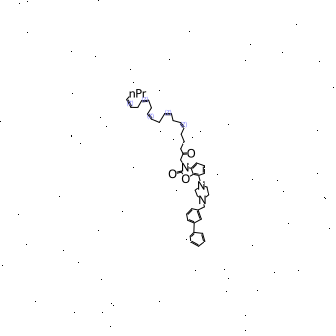 CCC/C=C\C/C=C\C/C=C\C/C=C\C/C=C\CCCC(=O)Cn1c(=O)oc2c(N3CCN(Cc4cccc(-c5ccccc5)c4)CC3)cccc21